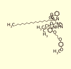 CCCCCCCCCCCCCCCCCCN1C(C(C(=O)Nc2cc(C(C)(C)C)ccc2OCCCOc2ccc(OC)cc2)n2ccnc2)=Nc2ccccc2S1(=O)=O